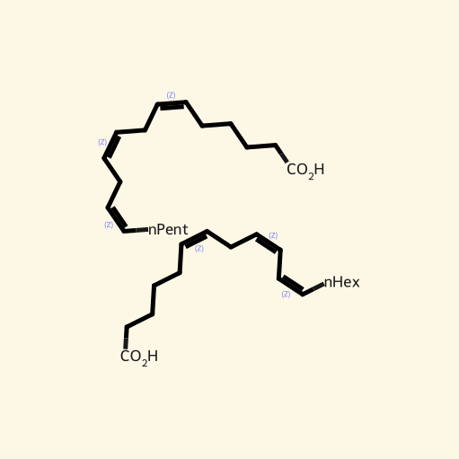 CCCCC/C=C\C/C=C\C/C=C\CCCCC(=O)O.CCCCCC/C=C\C=C/C/C=C\CCCCC(=O)O